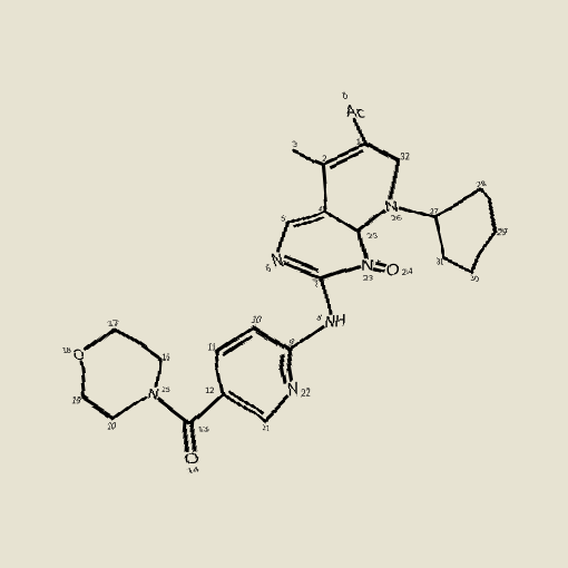 CC(=O)C1=C(C)C2=CN=C(Nc3ccc(C(=O)N4CCOCC4)cn3)[N+](=O)C2N(C2CCCC2)C1